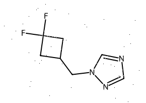 FC1(F)CC(Cn2cncn2)C1